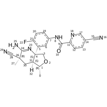 C[C@H]1OC[C@]2(c3cc(NC(=O)c4ccc(C#N)cn4)ccc3F)N=C(N)[C@](C)(C#N)C[C@H]12